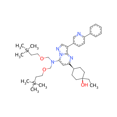 CC[C@]1(O)CC[C@@H](c2cc(N(COCC[Si](C)(C)C)COCC[Si](C)(C)C)n3ncc(-c4ccc(-c5ccccc5)nc4)c3n2)CC1